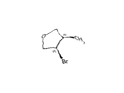 C[C@@H]1COC[C@@H]1Br